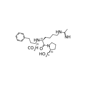 CC(=N)NCCCC[C@H](N[C@@H](CCc1ccccc1)C(=O)O)C(=O)N1CCC[C@H]1C(=O)O